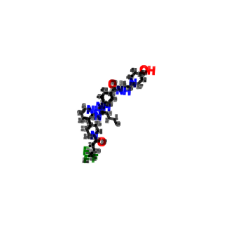 CCC/C=C(\N=c1/[nH]cccc1C1=CCN(C(=O)CCC(F)(F)F)CC1)Nc1ccc(C(=O)NCCN2CCC(O)CC2)cc1